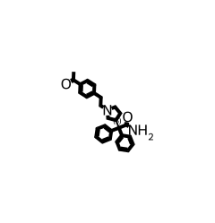 CC(=O)c1ccc(CCN2CC[C@@H](C(C(N)=O)(c3ccccc3)c3ccccc3)C2)cc1